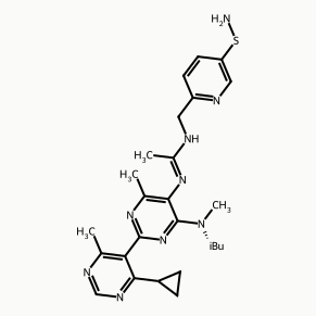 CC[C@@H](C)N(C)c1nc(-c2c(C)ncnc2C2CC2)nc(C)c1/N=C(\C)NCc1ccc(SN)cn1